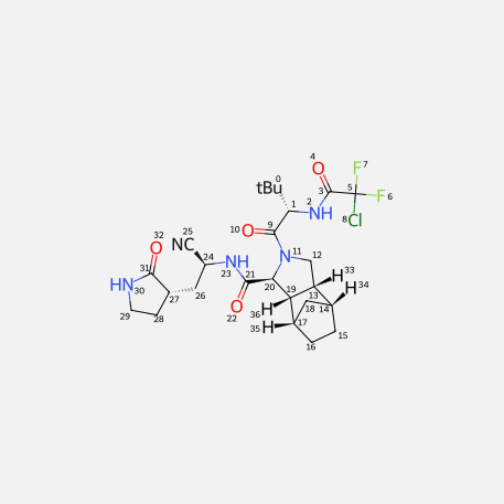 CC(C)(C)[C@H](NC(=O)C(F)(F)Cl)C(=O)N1C[C@@H]2[C@@H]3CC[C@@H](C3)[C@@H]2[C@H]1C(=O)N[C@H](C#N)C[C@@H]1CCNC1=O